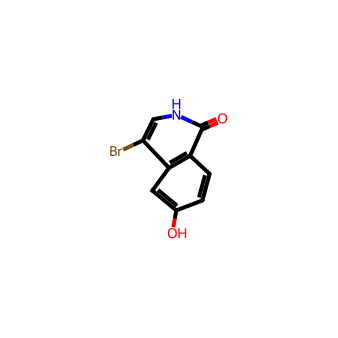 O=c1[nH]cc(Br)c2cc(O)ccc12